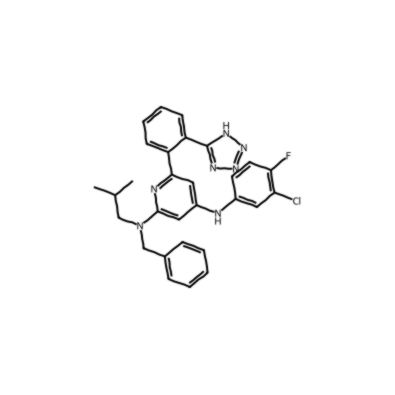 CC(C)CN(Cc1ccccc1)c1cc(Nc2ccc(F)c(Cl)c2)cc(-c2ccccc2-c2nnn[nH]2)n1